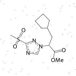 COC(=O)C(CC1CCCC1)n1cnc(S(C)(=O)=O)n1